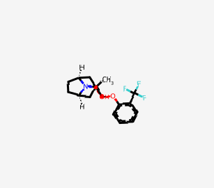 CC1(O)C[C@H]2CC[C@@H](C1)N2CCOc1ccccc1C(F)(F)F